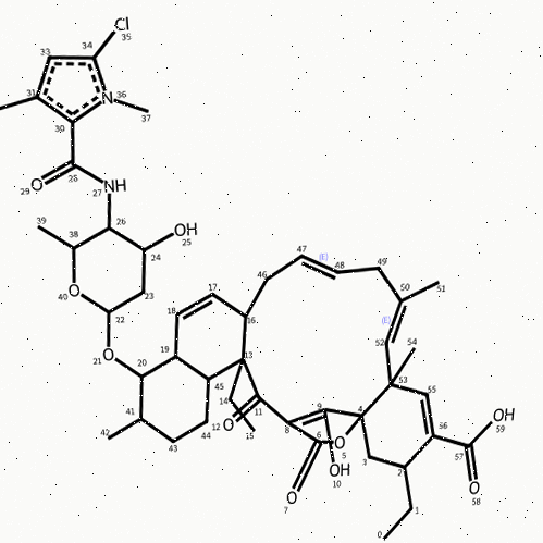 CCC1CC23OC(=O)C(=C2O)C(=O)C2(CC)C(C=CC4C(OC5CC(O)C(NC(=O)c6c(Cl)cc(Cl)n6C)C(C)O5)C(C)CCC42)C/C=C/C/C(C)=C/C3(C)C=C1C(=O)O